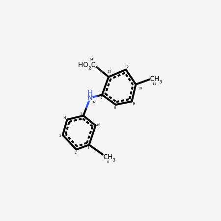 Cc1cccc(Nc2ccc(C)cc2C(=O)O)c1